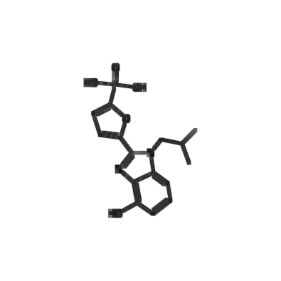 CC(C)Cn1c(-c2ccc(P(=O)(O)O)o2)nc2c(O)cccc21